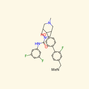 CNCc1ccc(-c2ccc(C3(O)C4CN(C)CC3CN(C(=O)Nc3cc(F)cc(F)c3)C4)cc2)c(F)c1